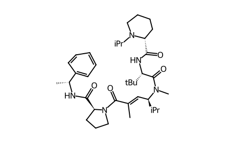 C/C(=C\[C@H](C(C)C)N(C)C(=O)[C@@H](NC(=O)[C@H]1CCCCN1C(C)C)C(C)(C)C)C(=O)N1CCC[C@H]1C(=O)N[C@H](C)c1ccccc1